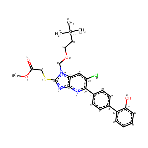 CC(C)(C)OC(=O)CSc1nc2nc(-c3ccc(-c4ccccc4O)cc3)c(Cl)cc2n1COCC[Si](C)(C)C